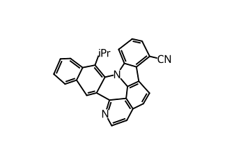 CC(C)c1c2ccccc2cc2c3nccc4ccc5c6c(C#N)cccc6n(c12)c5c43